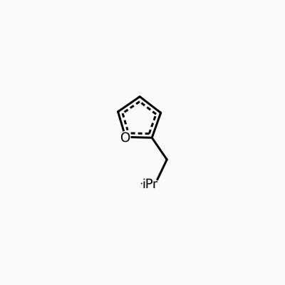 C[C](C)Cc1ccco1